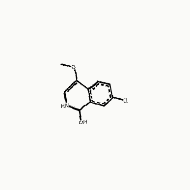 COC1=CNC(O)c2cc(Cl)ccc21